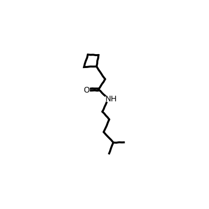 CC(C)CCCNC(=O)CC1CCC1